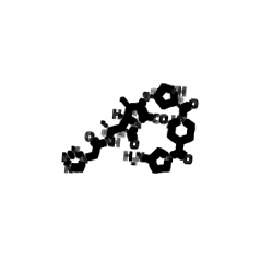 C[C@@H](NC(=O)Cn1cnnn1)[C@H]1C(=O)N2C(C(=O)O)=C(S[C@@H]3CN[C@H](C(=O)N4CCC(C(=O)N5CCC(N)C5)CC4)C3)[C@H](C)[C@H]12